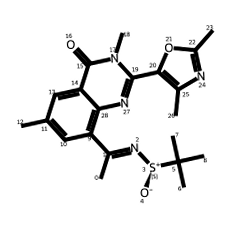 CC(=N[S@+]([O-])C(C)(C)C)c1cc(C)cc2c(=O)n(C)c(-c3oc(C)nc3C)nc12